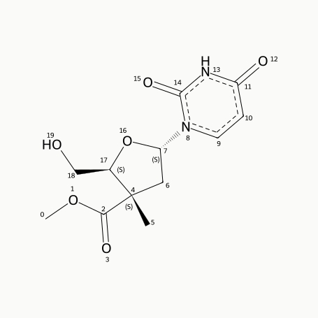 COC(=O)[C@@]1(C)C[C@@H](n2ccc(=O)[nH]c2=O)O[C@@H]1CO